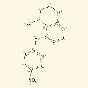 CC1CCOc2cccc(Oc3ccc([N+](=O)[O-])cn3)c21